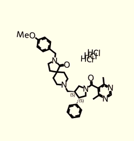 COc1ccc(CN2CCC3(CCN(C[C@H]4CN(C(=O)c5c(C)ncnc5C)C[C@@H]4c4ccccc4)CC3)C2=O)cc1.Cl.Cl.Cl